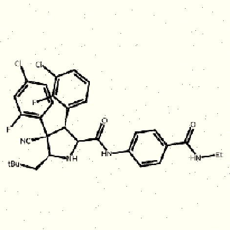 CCNC(=O)c1ccc(NC(=O)C2N[C@@H](CC(C)(C)C)[C@](C#N)(c3ccc(Cl)cc3F)[C@H]2c2cccc(Cl)c2F)cc1